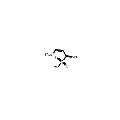 CN/C=C\C(=N)S(=O)(=O)C(C)C